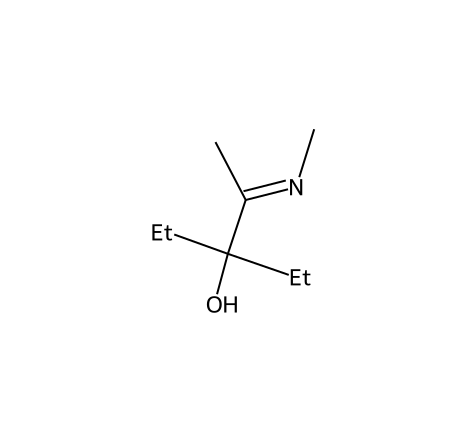 CCC(O)(CC)C(C)=NC